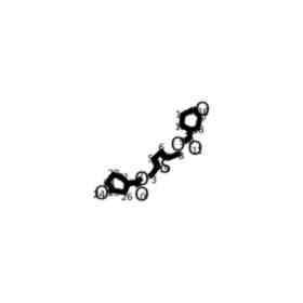 O=C(OCc1ccc(COC(=O)C2CCC3OC3C2)s1)C1CCC2OC2C1